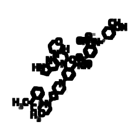 CC(C)c1ccccc1[C@@H]1COCCN1C1CC2(CCN(c3ccc(C(=O)NS(=O)(=O)c4ccc(NC[C@H]5CC[C@](C)(O)CC5)c([N+](=O)[O-])c4)c(N4CC[C@H]5COCCCN5c5nc6[nH]ccc6cc54)c3)CC2)C1